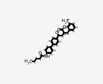 CCCCC(=O)Nc1ccc(-c2ccc(C(=O)CC(Cc3cccc(C)c3)C(=O)O)cc2)cc1